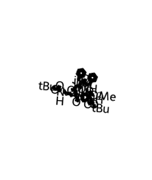 COC(=O)C1(NC(=O)OC(C)(C)C)CCN(C(=O)[C@@H](CCCCNC(=O)OC(C)(C)C)NC(=O)[C@H](CC(C)C)C(=O)[C@@H](Cc2ccccc2)C(=O)[C@H](N)Cc2ccccc2)CC1